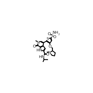 CC(C)NC(=O)c1cc2c(-c3sc(S(N)(=O)=O)cc3OCC3CCCN3C)cn(C)c(=O)c2[nH]1